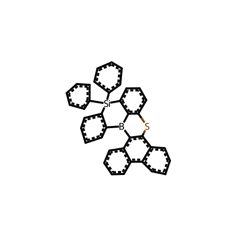 c1ccc([Si]2(c3ccccc3)c3ccccc3B3c4c(cccc42)Sc2c3c3ccccc3c3ccccc23)cc1